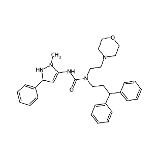 CN1NC(c2ccccc2)C=C1NC(=O)N(CCC(c1ccccc1)c1ccccc1)CCN1CCOCC1